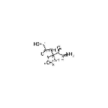 CCC(S)(NC(=O)CS)C(=O)NN